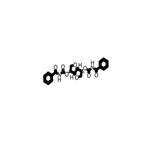 O=C(NC(=O)c1ccccc1)O[C@H]1CO[C@H]2[C@@H]1OC[C@H]2OC(=O)NC(=O)c1ccccc1